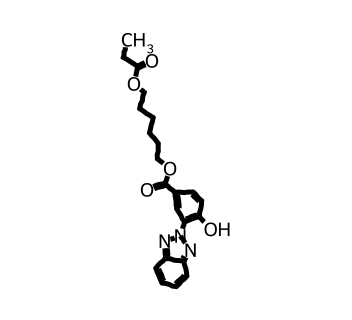 CCC(=O)OCCCCCCOC(=O)c1ccc(O)c(-n2nc3ccccc3n2)c1